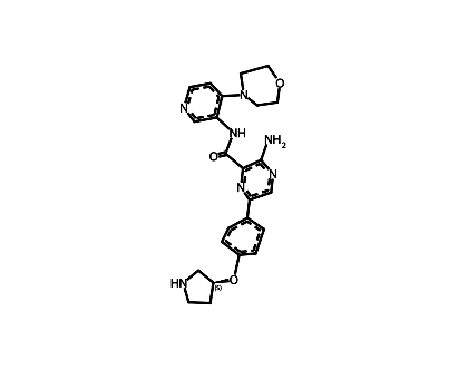 Nc1ncc(-c2ccc(O[C@H]3CCNC3)cc2)nc1C(=O)Nc1cnccc1N1CCOCC1